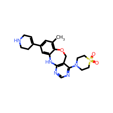 Cc1cc(C2=CCNCC2)cc2c1OCc1c(ncnc1N1CCS(=O)(=O)CC1)N2